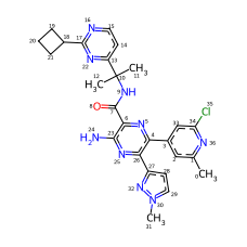 Cc1cc(-c2nc(C(=O)NC(C)(C)c3ccnc(C4CCC4)n3)c(N)nc2-c2ccn(C)n2)cc(Cl)n1